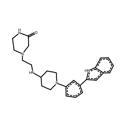 O=C1CN(CCNC2CCN(c3cccc(-c4cc5ccccc5[nH]4)c3)CC2)CCN1